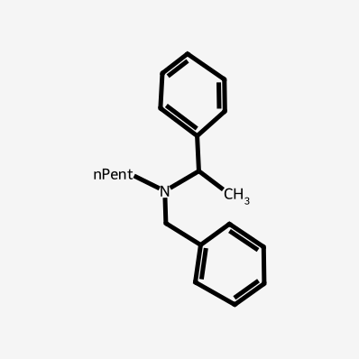 CCCCCN(Cc1ccccc1)C(C)c1ccccc1